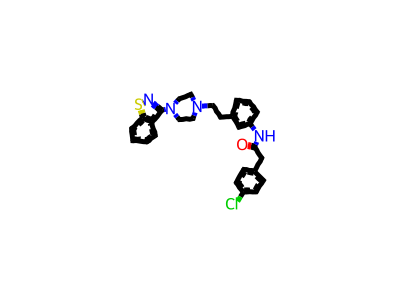 O=C(Cc1ccc(Cl)cc1)Nc1cccc(CCN2CCN(c3nsc4ccccc34)CC2)c1